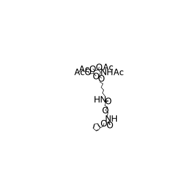 CC(=O)NC1C(OCCCCCCNC(=O)CCOCCNC(=O)OCc2ccccc2)OC(COC(C)=O)C(OC(C)=O)C1OC(C)=O